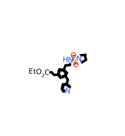 CCOC(=O)CCc1cc(CCNS(=O)(=O)N2CCCC2)cc(Cc2cccnc2)c1